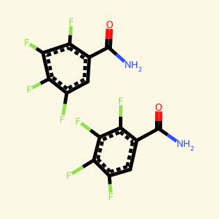 NC(=O)c1cc(F)c(F)c(F)c1F.NC(=O)c1cc(F)c(F)c(F)c1F